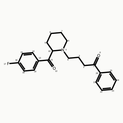 O=C(CCCN1CCCCC1C(=O)c1ccc(F)cc1)c1ccccc1